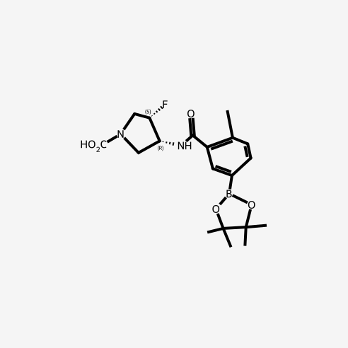 Cc1ccc(B2OC(C)(C)C(C)(C)O2)cc1C(=O)N[C@@H]1CN(C(=O)O)C[C@@H]1F